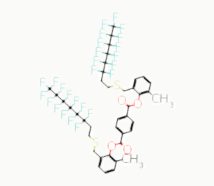 Cc1cccc(CSCCC(F)(F)C(F)(F)C(F)(F)C(F)(F)C(F)(F)C(F)(F)F)c1OC(=O)c1ccc(C(=O)Oc2c(C)cccc2CSCCC(F)(F)C(F)(F)C(F)(F)C(F)(F)C(F)(F)C(F)(F)F)cc1